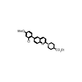 CCOC(=O)C1CCN(c2ccc3cc(-c4ccc(OC)cc4Cl)ccc3n2)CC1